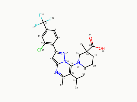 Cc1nc2cc(-c3ccc(C(F)(F)F)cc3Cl)nn2c(N2CCCC(C)(C(=O)O)C2)c1C(C)C